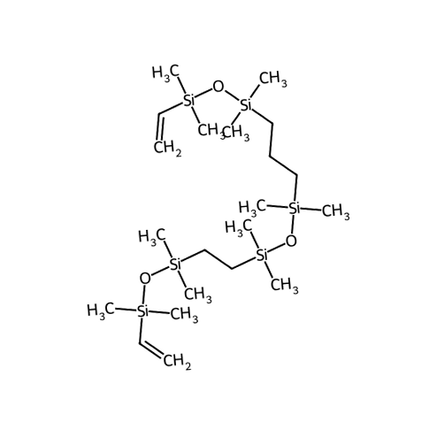 C=C[Si](C)(C)O[Si](C)(C)CCC[Si](C)(C)O[Si](C)(C)CC[Si](C)(C)O[Si](C)(C)C=C